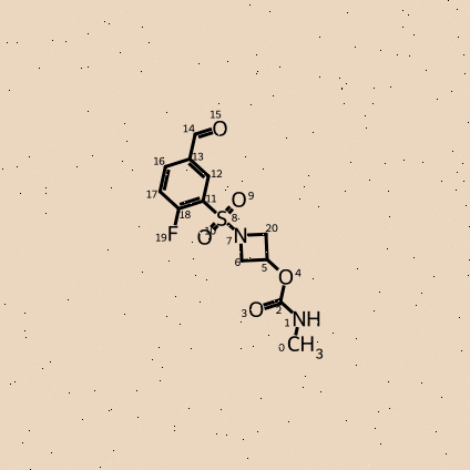 CNC(=O)OC1CN(S(=O)(=O)c2cc(C=O)ccc2F)C1